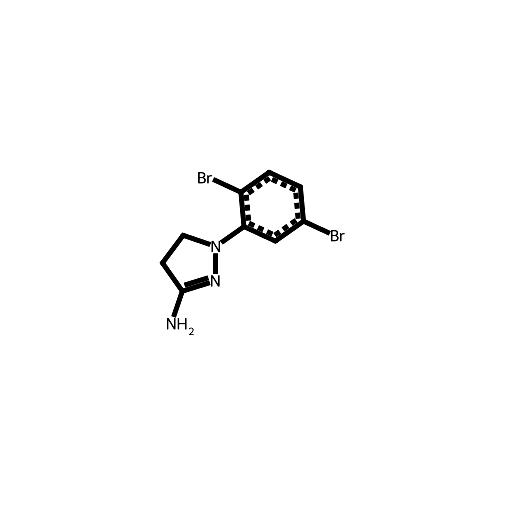 NC1=NN(c2cc(Br)ccc2Br)CC1